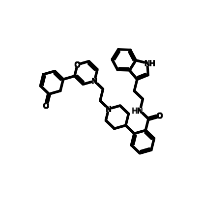 O=C1C=CC=C(C2=CN(CCN3CCC(c4ccccc4C(=O)NCCc4c[nH]c5ccccc45)CC3)C=CO2)C1